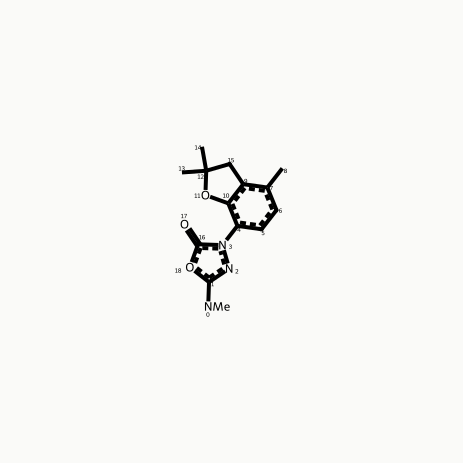 CNc1nn(-c2ccc(C)c3c2OC(C)(C)C3)c(=O)o1